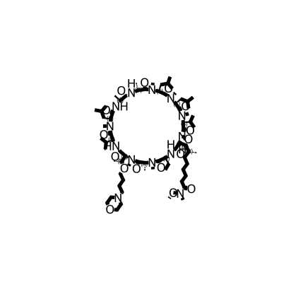 CC[C@@H]1NC(=O)[C@@H]2[C@@H]([C@H](C)CCCCCC(=O)N(C)OC)ON2C(=O)[C@H](C(C)C)N(C)C(=O)[C@H](CC(C)C)N(C)C(=O)[C@H](CC(C)C)N(C)C(=O)[C@@H](C)NC(=O)[C@H](C)NC(=O)[C@H](CC(C)C)N(C)C(=O)[C@H](C(C)C)NC(=O)[C@H]([C@@H](C)OCCCCN2CCOCC2)N(C)C(=O)[C@@H](C)N(C)C1=O